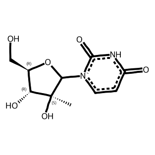 C[C@@]1(O)C(n2ccc(=O)[nH]c2=O)O[C@H](CO)[C@H]1O